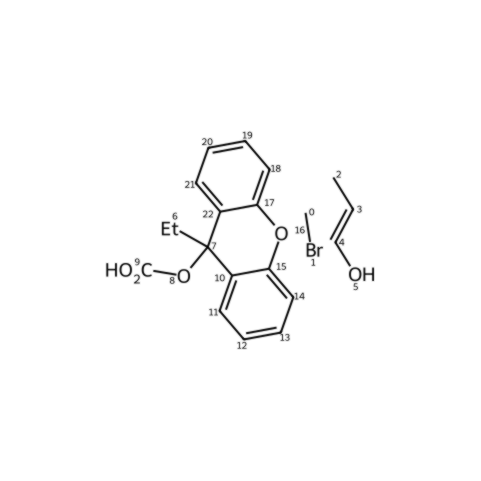 CBr.CC=CO.CCC1(OC(=O)O)c2ccccc2Oc2ccccc21